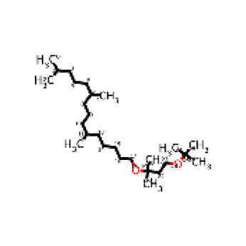 CC(C)CCCC(C)CCCC(C)CCCCCOC(C)(C)CCOC(C)(C)C